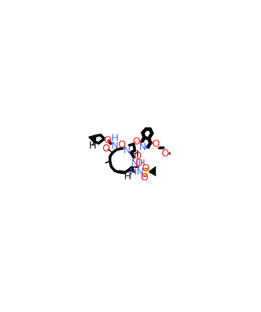 COCCOc1cnc(O[C@@H]2C[C@H]3C(=O)N[C@]4(C(=O)NS(=O)(=O)C5CC5)C[C@H]4/C=C\CC[C@@H](C)C[C@@H](C)[C@H](NC(=O)OC4CC5C[C@H]5C4)C(=O)N3C2)c2ccccc12